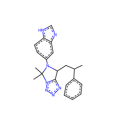 CC(CC1c2nnnn2C(C)(C)N1c1ccc2[nH]cnc2c1)c1ccccc1